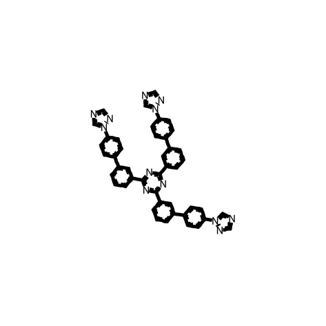 c1cc(-c2ccc(-n3cncn3)cc2)cc(-c2nc(-c3cccc(-c4ccc(-n5cncn5)cc4)c3)nc(-c3cccc(-c4ccc(-n5cncn5)cc4)c3)n2)c1